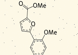 COC(=O)c1ccc(-c2ccccc2OC)o1